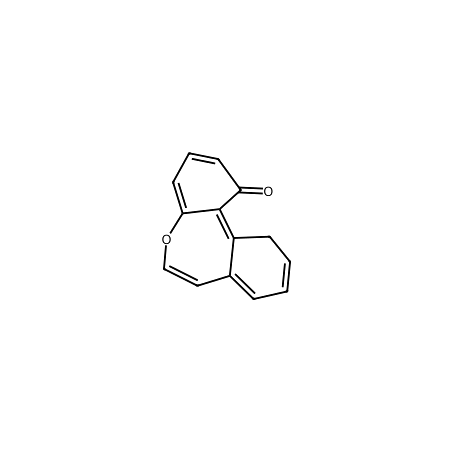 O=C1C=CC=C2OC=CC3=CC=CCC3=C12